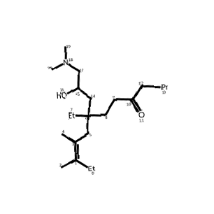 CC/C(C)=C(/C)CC(CC)(CCC(=O)CC(C)C)CC(O)CN(C)C